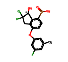 N#Cc1cc(F)cc(Oc2ccc(S(=O)O)c3c2CC(F)(Cl)[C@H]3O)c1